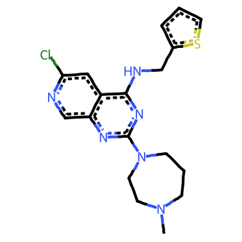 CN1CCCN(c2nc(NCc3cccs3)c3cc(Cl)ncc3n2)CC1